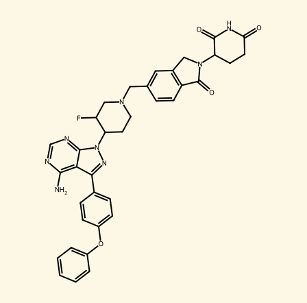 Nc1ncnc2c1c(-c1ccc(Oc3ccccc3)cc1)nn2C1CCN(Cc2ccc3c(c2)CN(C2CCC(=O)NC2=O)C3=O)CC1F